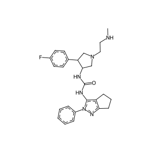 CNCCN1CC(NC(=O)Nc2c3c(nn2-c2ccccc2)CCC3)C(c2ccc(F)cc2)C1